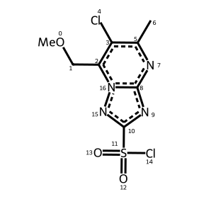 COCc1c(Cl)c(C)nc2nc(S(=O)(=O)Cl)nn12